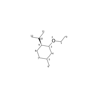 CCOC1CC(C)CC[C@H]1C(C)C